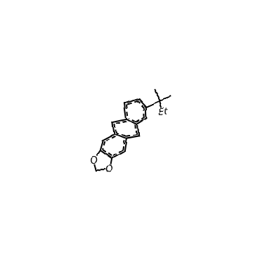 CCC(C)(C)c1ccc2cc3cc4c(cc3cc2c1)OCO4